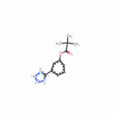 CC(C)(C)C(=O)Oc1cccc(-c2nnn[nH]2)c1